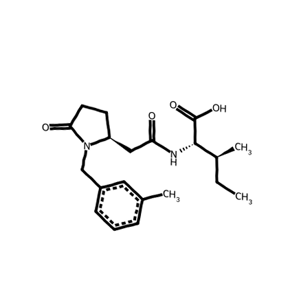 CC[C@H](C)[C@H](NC(=O)C[C@@H]1CCC(=O)N1Cc1cccc(C)c1)C(=O)O